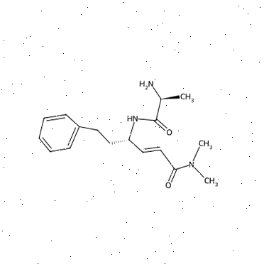 C[C@H](N)C(=O)N[C@H](C=CC(=O)N(C)C)CCc1ccccc1